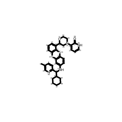 Cc1ccc(C(Nc2ccc3c(c2)Sc2cccc(C4CN(c5ccc[nH]c5=O)CCO4)c2S3)C2CCCCC2)nc1